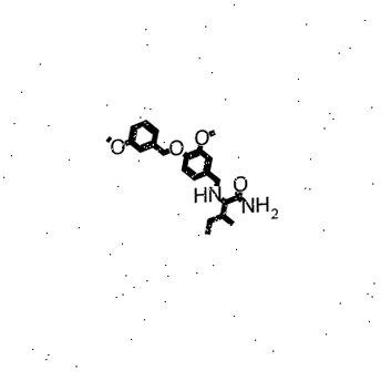 CCC(C)C(NCc1ccc(OCc2cccc(OC)c2)c(OC)c1)C(N)=O